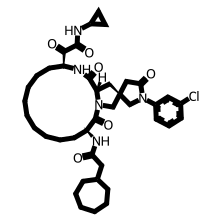 O=C(CC1CCCCCC1)N[C@H]1CCCCCCCCC[C@@H](C(=O)C(=O)NC2CC2)NC(=O)[C@@H]2C[C@]3(CC(=O)N(c4cccc(Cl)c4)C3)CN2C1=O